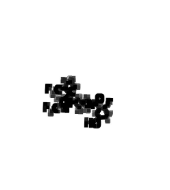 O=C(c1cc(O)ccc1F)N1CC2(CC(n3nc(C(F)(F)F)cc3-c3ccccc3C(F)(F)F)C2)C1